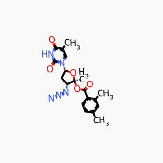 Cc1ccc(C(=O)O[C@]2(C)O[C@@H](n3cc(C)c(=O)[nH]c3=O)C[C@@H]2N=[N+]=[N-])c(C)c1